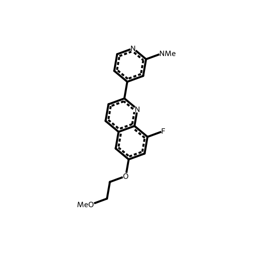 CNc1cc(-c2ccc3cc(OCCOC)cc(F)c3n2)ccn1